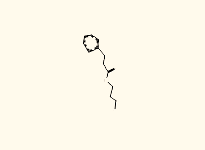 NCCCNC(=O)CCc1ccccc1